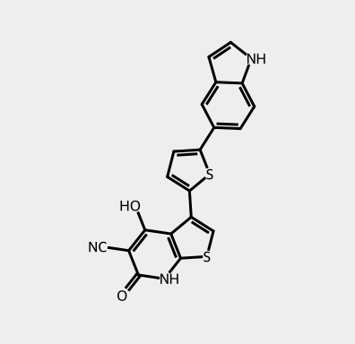 N#Cc1c(O)c2c(-c3ccc(-c4ccc5[nH]ccc5c4)s3)csc2[nH]c1=O